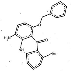 CC(C)(C)c1ccccc1C(=O)c1c(OCc2ccccc2)ccc(N)c1N